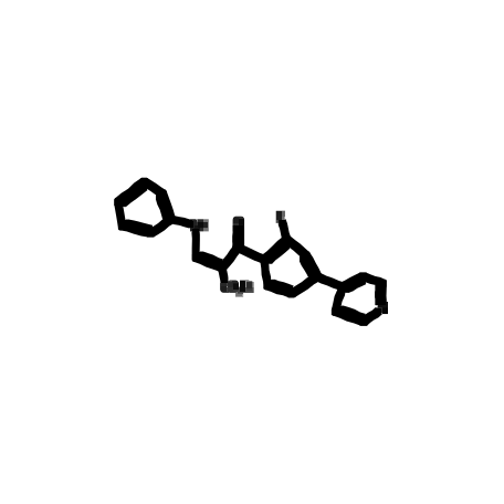 CCOC(=O)C(=CNc1ccccc1)C(=O)c1ccc(-c2ccncc2)cc1F